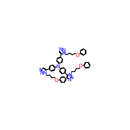 c1ccc(OCCCCn2nncc2-c2ccc(N(c3ccc(-c4cnnn4CCCCOc4ccccc4)cc3)c3ccc(-c4cnnn4CCCCOc4ccccc4)cc3)cc2)cc1